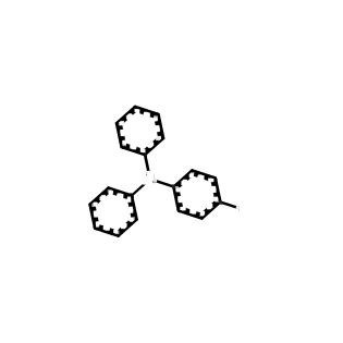 [O]c1ccc(N(c2ccccc2)c2ccccc2)cc1